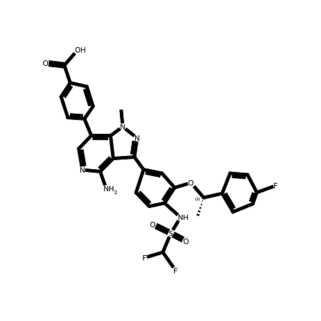 C[C@H](Oc1cc(-c2nn(C)c3c(-c4ccc(C(=O)O)cc4)cnc(N)c23)ccc1NS(=O)(=O)C(F)F)c1ccc(F)cc1